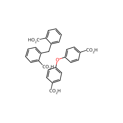 O=C(O)c1ccc(Oc2ccc(C(=O)O)cc2)cc1.O=C(O)c1ccccc1Cc1ccccc1C(=O)O